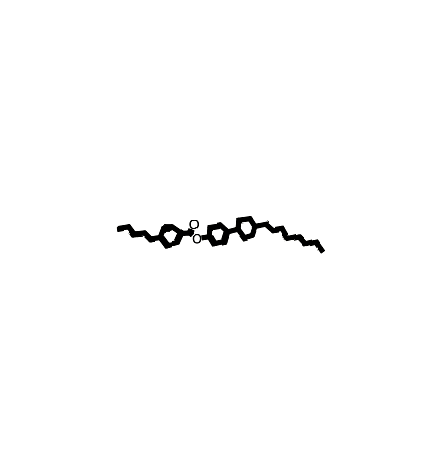 CCCCCCCCC1CCC(c2ccc(OC(=O)c3ccc(CCCCC)cc3)cc2)CC1